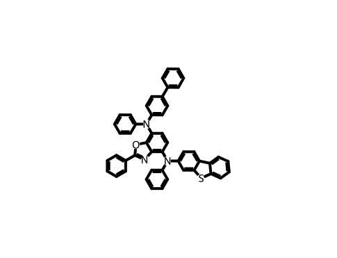 c1ccc(-c2ccc(N(c3ccccc3)c3ccc(N(c4ccccc4)c4ccc5c(c4)sc4ccccc45)c4nc(-c5ccccc5)oc34)cc2)cc1